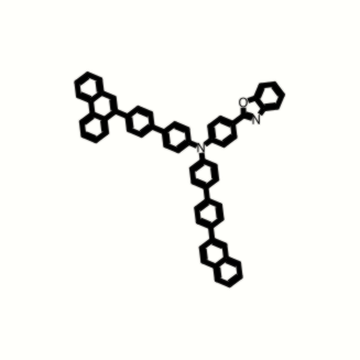 c1ccc2cc(-c3ccc(-c4ccc(N(c5ccc(-c6ccc(-c7cc8ccccc8c8ccccc78)cc6)cc5)c5ccc(-c6nc7ccccc7o6)cc5)cc4)cc3)ccc2c1